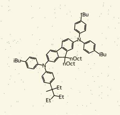 CCCCCCCCC1(CCCCCCCC)c2cc(N(c3ccc(C(C)CC)cc3)c3ccc(C(C)(C)C)cc3)ccc2-c2ccc(N(c3ccc(C(C)CC)cc3)c3ccc(C(C)(CC)C(CC)CC)cc3)cc21